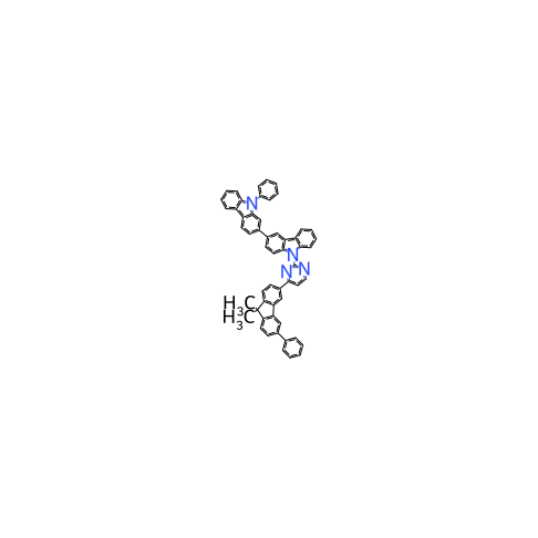 CC1(C)c2ccc(-c3ccccc3)cc2-c2cc(-c3ccnc(-n4c5ccccc5c5cc(-c6ccc7c8ccccc8n(-c8ccccc8)c7c6)ccc54)n3)ccc21